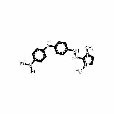 CCN(CC)c1ccc(Nc2ccc(NNc3n(C)cc[n+]3C)cc2)cc1